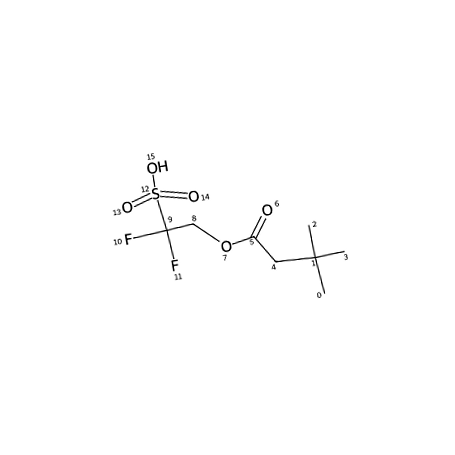 CC(C)(C)CC(=O)OCC(F)(F)S(=O)(=O)O